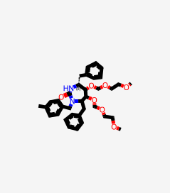 COCCOCOC1C(OCOCCOC)[C@@H](Cc2ccccc2)NC(=O)N(Cc2ccc(C)cc2)C1Cc1ccccc1